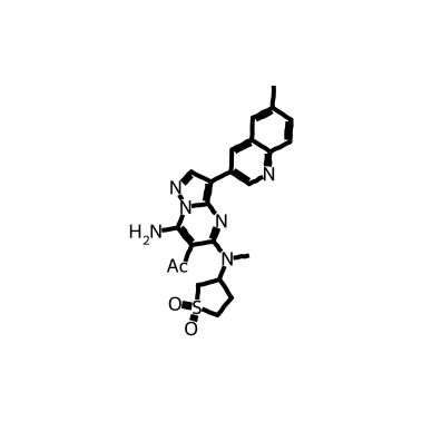 CC(=O)c1c(N(C)C2CCS(=O)(=O)C2)nc2c(-c3cnc4ccc(C)cc4c3)cnn2c1N